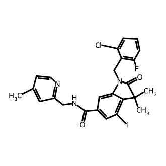 Cc1ccnc(CNC(=O)c2cc(I)c3c(c2)N(Cc2c(F)cccc2Cl)C(=O)C3(C)C)c1